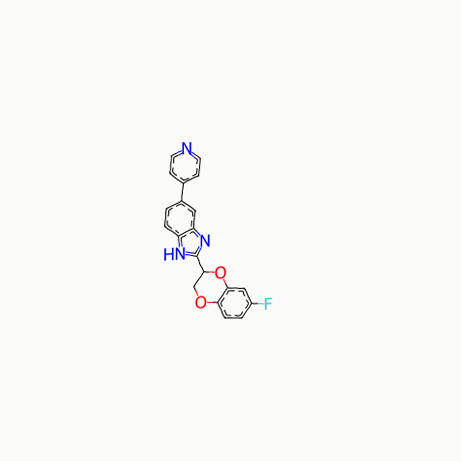 Fc1ccc2c(c1)OC(c1nc3cc(-c4ccncc4)ccc3[nH]1)CO2